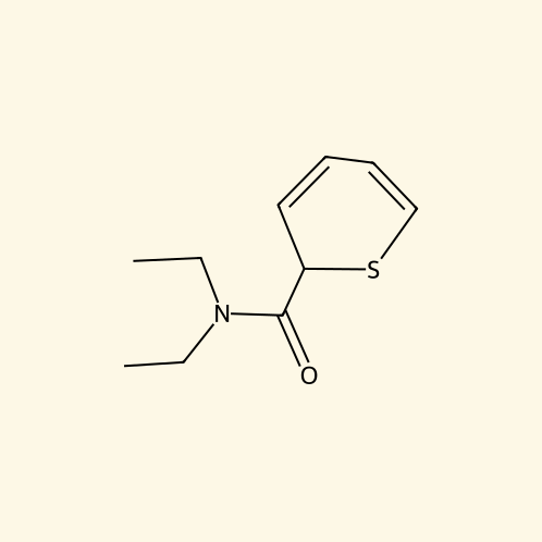 CCN(CC)C(=O)C1C=CC=CS1